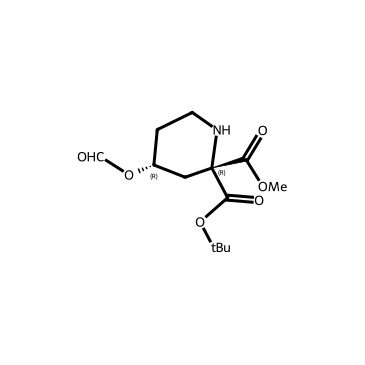 COC(=O)[C@@]1(C(=O)OC(C)(C)C)C[C@H](OC=O)CCN1